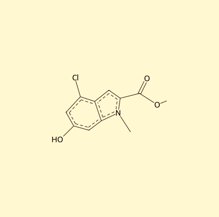 COC(=O)c1cc2c(Cl)cc(O)cc2n1C